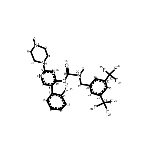 CN1CCN(c2ncc(-c3ccccc3Cl)c(OC(=O)N(C)Cc3cc(C(F)(F)F)cc(C(F)(F)F)c3)n2)CC1